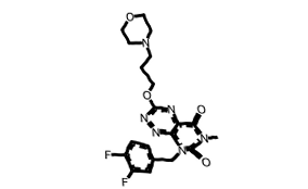 Cn1c(=O)c2nc(OCCCN3CCOCC3)nnc2n(Cc2ccc(F)c(F)c2)c1=O